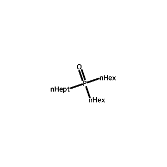 CCCCCCCP(=O)(CCCCCC)CCCCCC